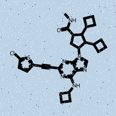 CNC(=O)C1CC(n2cnc3c(NC4CCC4)nc(C#Cc4ccc(Cl)s4)nc32)C(C2CCC2)C1C1CCC1